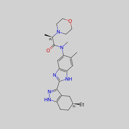 CC[C@H]1CCc2[nH]nc(-c3nc4cc(N(C)C(=O)[C@@H](C)N5CCOCC5)c(C)cc4[nH]3)c2C1